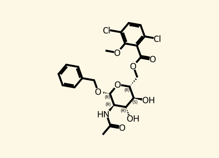 COc1c(Cl)ccc(Cl)c1C(=O)OC[C@H]1O[C@@H](OCc2ccccc2)[C@H](NC(C)=O)[C@@H](O)[C@@H]1O